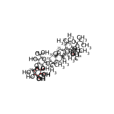 C/C=C(/C)C(=O)O[C@H]1[C@H](OC(=O)/C(C)=C\C)[C@@]2(CO)C(CC1(C)C)C1=CCC3[C@@]4(C)CC[C@H](O[C@@H]5OC(C(=O)O)[C@@H](O)[C@@H](O[C@@H]6OC[C@@H](O)[C@@H](O)C6O)C5O[C@@H]5OC(CO)[C@H](O)[C@@H](O)C5O)C(C)(C)C4CC[C@@]3(C)[C@]1(C)C[C@H]2O